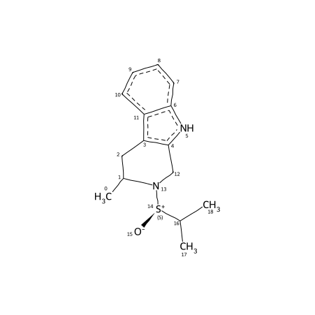 CC1Cc2c([nH]c3ccccc23)CN1[S@+]([O-])C(C)C